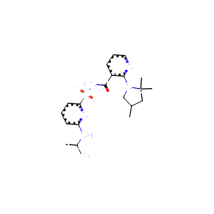 CC1CN(c2ncccc2C(=O)NS(=O)(=O)c2cccc(NC(C)C(C)C)n2)C(C)(C)C1